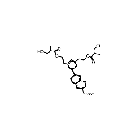 C=C(CO)C(=O)OCCc1cc(CCOC(=O)C(C)CO)cc(-c2ccc3cc(CCCCC)ccc3c2)c1